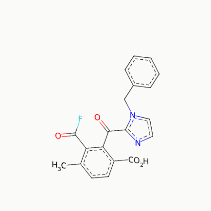 Cc1ccc(C(=O)O)c(C(=O)c2nccn2Cc2ccccc2)c1C(=O)F